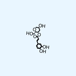 O=C(/C=C/c1ccc(O)c(O)c1)O[C@H]1C[C@@H](O)CO[C@@H]1CO